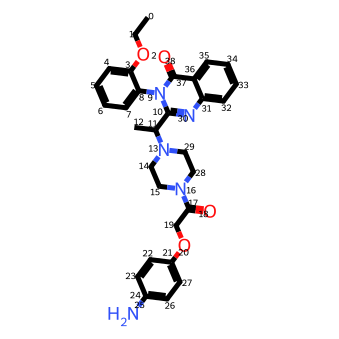 CCOc1ccccc1-n1c(C(C)N2CCN(C(=O)COc3ccc(N)cc3)CC2)nc2ccccc2c1=O